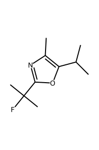 Cc1nc(C(C)(C)F)oc1C(C)C